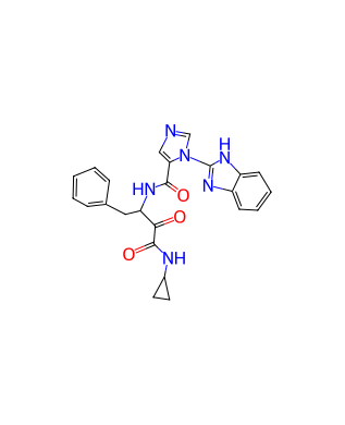 O=C(NC1CC1)C(=O)C(Cc1ccccc1)NC(=O)c1cncn1-c1nc2ccccc2[nH]1